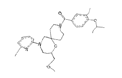 COCC1CN(c2cccc(C)n2)CC2(CCN(C(=O)c3ccc(OC(C)C)c(C)c3)CC2)O1